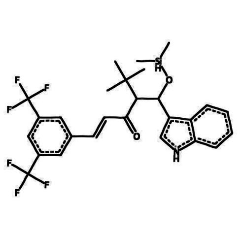 C[SiH](C)OC(c1c[nH]c2ccccc12)C(C(=O)C=Cc1cc(C(F)(F)F)cc(C(F)(F)F)c1)C(C)(C)C